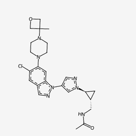 CC(=O)NC[C@H]1C[C@@H]1n1cc(-n2ncc3cc(Cl)c(N4CCN(C5(C)COC5)CC4)cc32)cn1